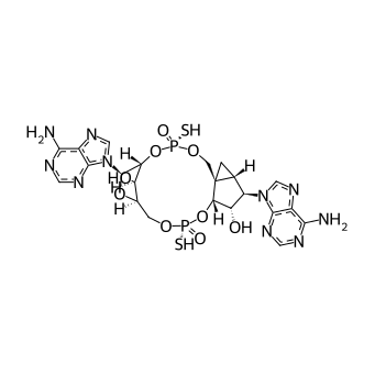 Nc1ncnc2c1ncn2[C@H]1[C@H](O)[C@@H]2O[P@](=O)(S)OC[C@H]3O[C@@H](n4cnc5c(N)ncnc54)[C@H](O[P@@](=O)(S)OC[C@]24C[C@H]14)[C@@H]3O